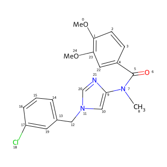 COc1ccc(C(=O)N(C)c2cn(Cc3cccc(Cl)c3)cn2)cc1OC